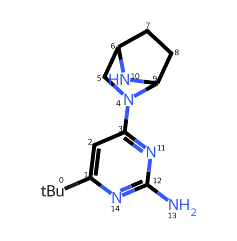 CC(C)(C)c1cc(N2CC3CCC2N3)nc(N)n1